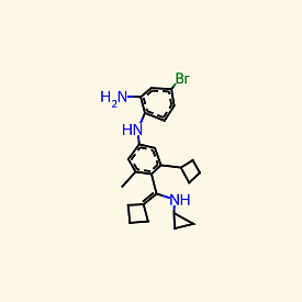 Cc1cc(Nc2ccc(Br)cc2N)cc(C2CCC2)c1C(NC1CC1)=C1CCC1